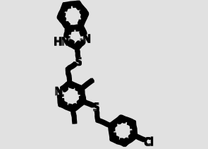 Cc1cnc(CSc2nc3ccccc3[nH]2)c(C)c1SCc1ccc(Cl)cc1